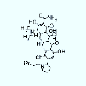 CC(C)CCN1CCCC1c1cc(O)c2c(c1Cl)C[C@H]1C[C@H]3[C@H](N(C)C)C(O)=C(C(N)=O)C(=O)[C@@]3(O)C(O)=C1C2=O